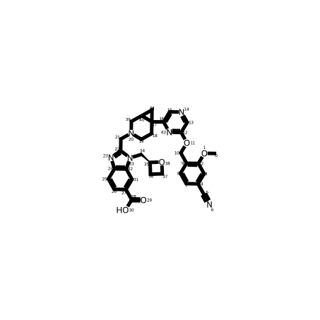 COc1cc(C#N)ccc1COc1cncc(C23CCN(Cc4nc5ccc(C(=O)O)cc5n4C[C@@H]4CCO4)CC2C3)n1